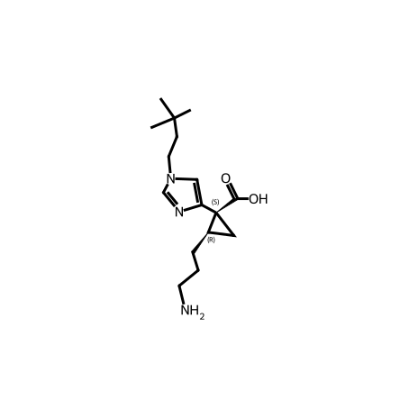 CC(C)(C)CCn1cnc([C@]2(C(=O)O)C[C@H]2CCCN)c1